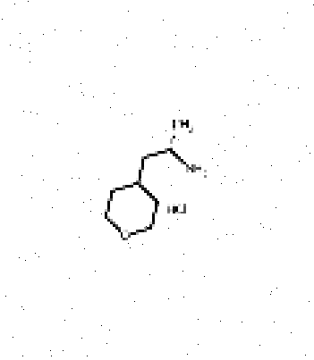 C[C@H](N)CC1CCOCC1.Cl